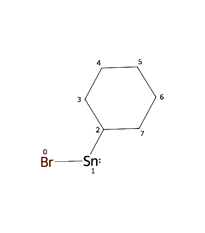 [Br][Sn][CH]1CCCCC1